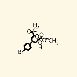 CCOC(=O)C1(O)CC(c2ccc(Br)cc2)C=C(C(C)=O)O1